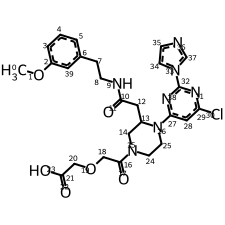 COc1cccc(CCNC(=O)CC2CN(C(=O)COCC(=O)O)CCN2c2cc(Cl)nc(-n3ccnc3)n2)c1